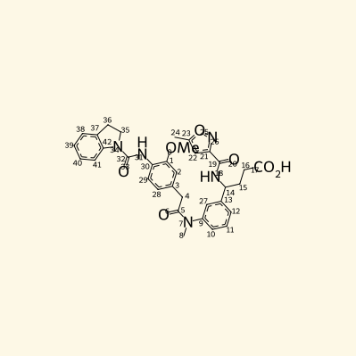 COc1cc(CC(=O)N(C)c2cccc(C(CCC(=O)O)NC(=O)c3cc(C)on3)c2)ccc1NC(=O)N1CCc2ccccc21